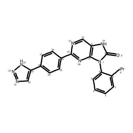 CC(C)c1ccccc1-n1c(=O)[nH]c2cnc(-c3ccc(-c4cnn[nH]4)cc3)nc21